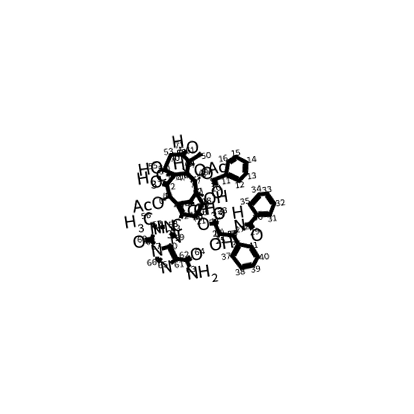 CC(=O)O[C@H]1C(=O)[C@@]2(C)[C@H]([C@H](OC(=O)c3ccccc3)[C@]3(O)C[C@H](OC(=O)[C@H](O)[C@@H](NC(=O)c4ccccc4)c4ccccc4)C(C)=C1C3(C)C)[C@]1(OC(C)=O)CO[C@@H]1C[C@@H]2O.Cn1nnc2c(C(N)=O)ncn2c1=O